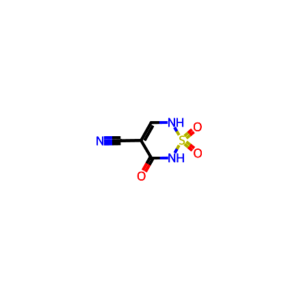 N#CC1=CNS(=O)(=O)NC1=O